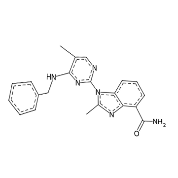 Cc1cnc(-n2c(C)nc3c(C(N)=O)cccc32)nc1NCc1ccccc1